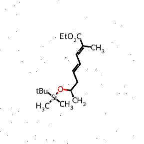 CCOC(=O)/C(C)=C/C=C/C[C@@H](C)O[Si](C)(C)C(C)(C)C